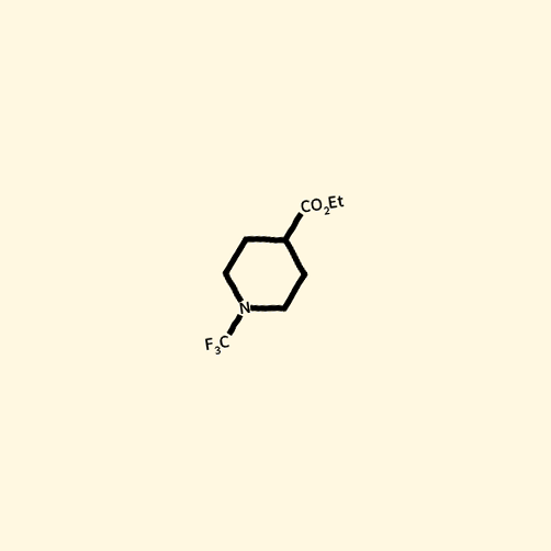 CCOC(=O)C1CCN(C(F)(F)F)CC1